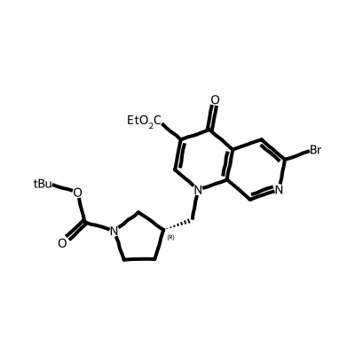 CCOC(=O)c1cn(C[C@@H]2CCN(C(=O)OC(C)(C)C)C2)c2cnc(Br)cc2c1=O